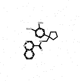 COc1ccc(C2(CNC(=O)c3cnnc4ccccc34)CCCC2)cc1OC